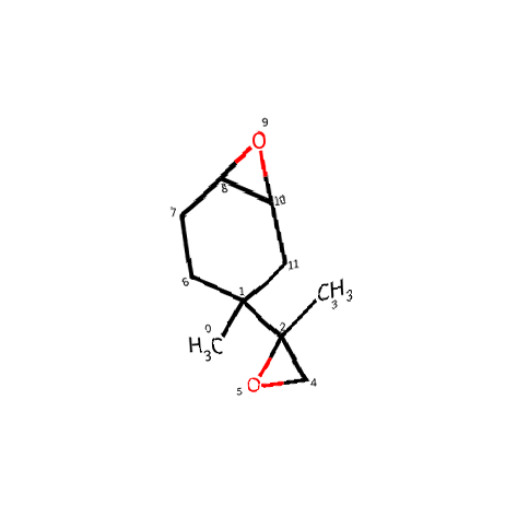 CC1(C2(C)CO2)CCC2OC2C1